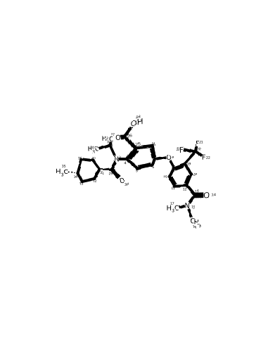 CC(C)N(c1ccc(Oc2ccc(C(=O)N(C)C)cc2C(F)(F)F)cc1C(=O)O)C(=O)[C@H]1CC[C@H](C)CC1